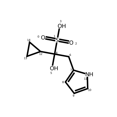 O=S(=O)(O)C(O)(Cc1ccc[nH]1)C1CC1